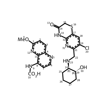 COc1ccc2nccc(NC(=O)O)c2n1.O=C1CSc2cc(Cl)c(CN[C@@H]3CCCC[C@H]3O)nc2N1